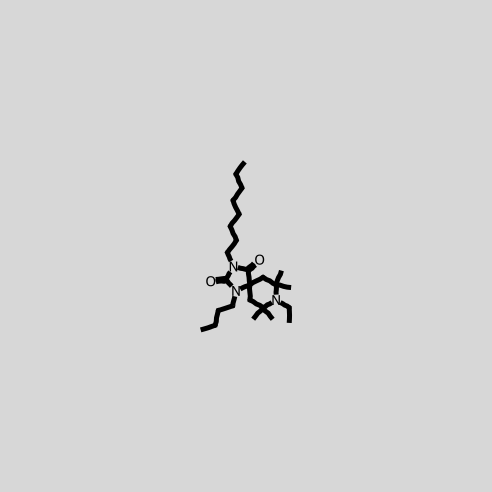 CCCCCCCCN1C(=O)N(CCCC)C2(CC(C)(C)N(CC)C(C)(C)C2)C1=O